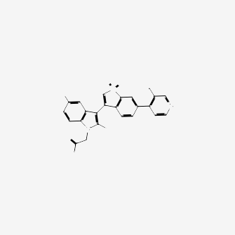 Cc1c(C2=CS(=O)(=O)c3cc(-c4ccncc4Cl)ccc32)c2cc(F)ccc2n1CC(=O)O